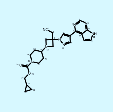 N#CCC1(n2cc(-c3ncnc4[nH]ccc34)cn2)CN(C2CCN(C(=O)OCC3CC3)CC2)C1